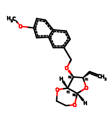 C=C[C@H]1O[C@@H]2OCCO[C@@H]2[C@H]1OCc1ccc2ccc(OC)cc2c1